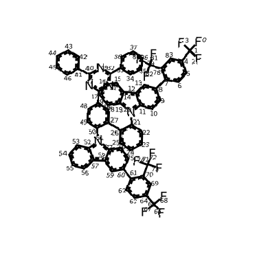 FC(F)(F)c1ccc(-c2ccc3c(c2)c2ccccc2n3-c2ccccc2-c2cc(-c3nc(-c4ccccc4)nc(-c4ccccc4)n3)ccc2-n2c3ccccc3c3cc(-c4ccc(C(F)(F)F)cc4C(F)(F)F)ccc32)c(C(F)(F)F)c1